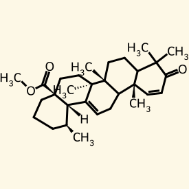 COC(=O)[C@]12CCC[C@H](C)[C@H]1C1=CCC3[C@@]4(C)C=CC(=O)C(C)(C)C4CC[C@@]3(C)[C@]1(C)CC2